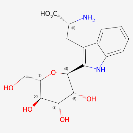 N[C@H](Cc1c([C@@H]2O[C@@H](CO)[C@H](O)[C@@H](O)[C@H]2O)[nH]c2ccccc12)C(=O)O